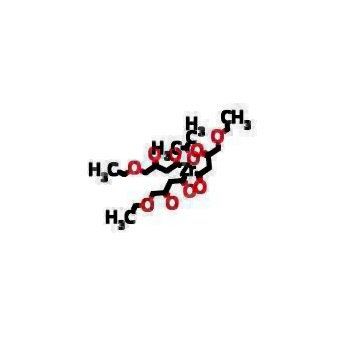 CCOCC(=O)C[C](=O)[Zr]([O]C(C)C)([C](=O)CC(=O)COCC)[C](=O)CC(=O)COCC